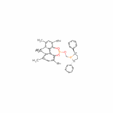 Cc1cc(C(C)(C)C)c2op(OCP3[C@@H](c4ccccc4)CC[C@@H]3c3ccccc3)oc3c(C(C)(C)C)cc(C)c(C)c3c2c1C